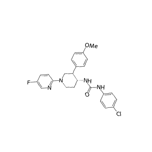 COc1ccc(C2CN(c3ccc(F)cn3)CC[C@H]2NC(=O)Nc2ccc(Cl)cc2)cc1